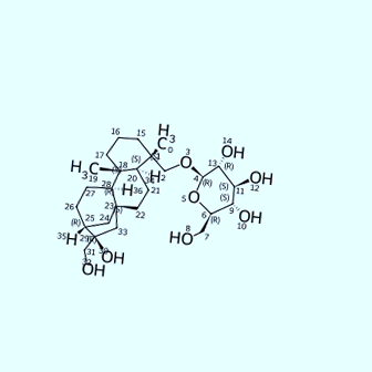 C[C@]1(CO[C@@H]2O[C@H](CO)[C@@H](O)[C@H](O)[C@H]2O)CCC[C@]2(C)[C@@H]1CC[C@@]13C[C@@H](CC[C@H]12)[C@@](O)(CO)C3